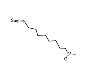 C[S+]([O-])CCCCCCCCN=C=S